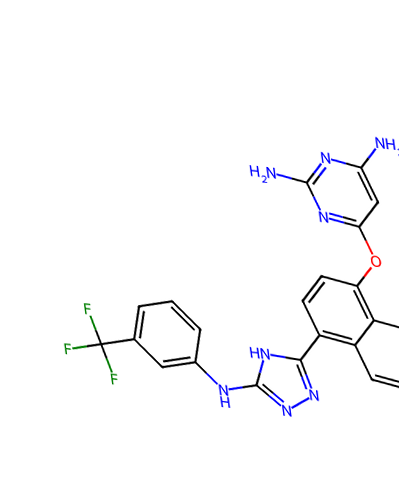 Nc1cc(Oc2ccc(-c3nnc(Nc4cccc(C(F)(F)F)c4)[nH]3)c3ccncc23)nc(N)n1